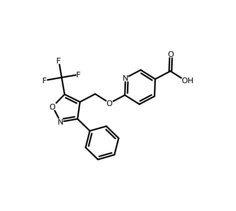 O=C(O)c1ccc(OCc2c(-c3ccccc3)noc2C(F)(F)F)nc1